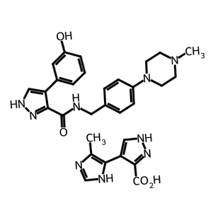 CN1CCN(c2ccc(CNC(=O)c3n[nH]cc3-c3cccc(O)c3)cc2)CC1.Cc1nc[nH]c1-c1c[nH]nc1C(=O)O